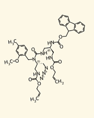 C=CCOC(=O)NC[C@@H](CNC(=O)N(Cc1ccc(C)cc1OC)[C@H](CN=[N+]=[N-])CNC(=O)OCC=C)NC(=O)OCC1c2ccccc2-c2ccccc21